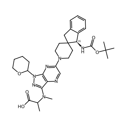 CC(C(=O)O)N(C)c1nn(C2CCCCO2)c2nc(N3CCC4(CC3)Cc3ccccc3[C@H]4NC(=O)OC(C)(C)C)cnc12